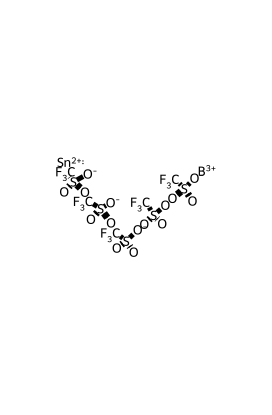 O=S(=O)([O-])C(F)(F)F.O=S(=O)([O-])C(F)(F)F.O=S(=O)([O-])C(F)(F)F.O=S(=O)([O-])C(F)(F)F.O=S(=O)([O-])C(F)(F)F.[B+3].[Sn+2]